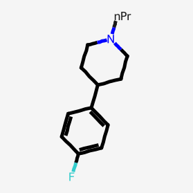 [CH2]CCN1CCC(c2ccc(F)cc2)CC1